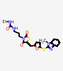 CCNC(=O)NCCCN1C(=O)S/C(=C\c2ccc(Sc3nc4ccccc4n3C)o2)C1=O